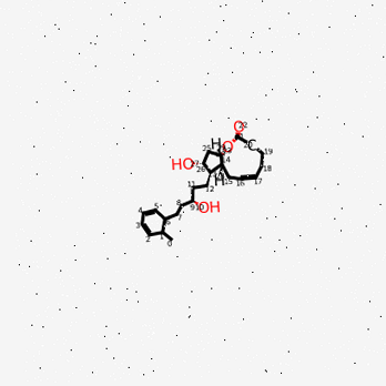 CC1C=CC=CC1CC[C@H](O)CC[C@@H]1[C@H]2C/C=C\CCCC(=O)O[C@H]2C[C@H]1O